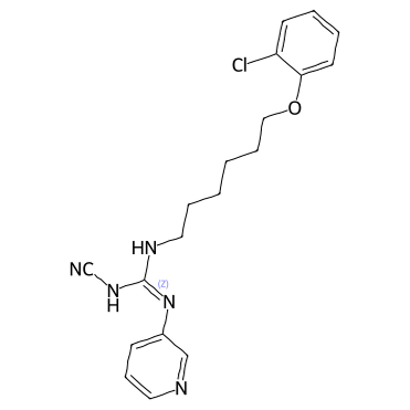 N#CN/C(=N\c1cccnc1)NCCCCCCOc1ccccc1Cl